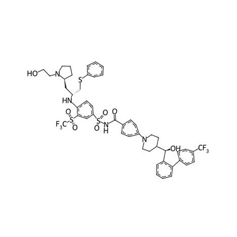 O=C(NS(=O)(=O)c1ccc(N[C@@H](CSc2ccccc2)C[C@@H]2CCCN2CCO)c(S(=O)(=O)C(F)(F)F)c1)c1ccc(N2CCC([C@@H](O)c3ccccc3-c3ccc(C(F)(F)F)cc3)CC2)cc1